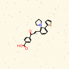 O=C(O)c1ccc(C(=O)/C=C/c2cccc(-c3cccs3)c2N2CCCC2)cc1